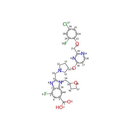 O=C(O)c1cc(F)c2nc(CN3CC[C@H](Oc4ccnc(COc5ccc(Cl)cc5F)n4)C3)n(CC3CCO3)c2c1